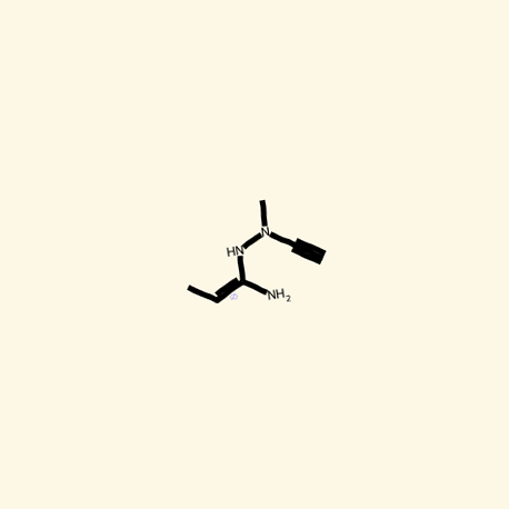 C#CN(C)N/C(N)=C\C